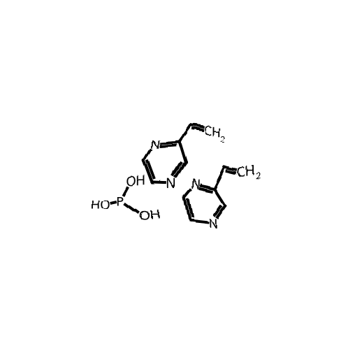 C=Cc1cnccn1.C=Cc1cnccn1.OP(O)O